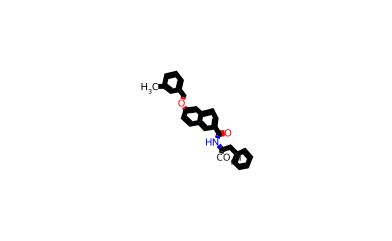 Cc1cccc(COc2ccc3cc(C(=O)NC(Cc4ccccc4)C(=O)O)ccc3c2)c1